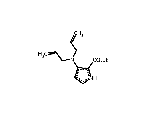 C=CCN(CC=C)c1cc[nH]c1C(=O)OCC